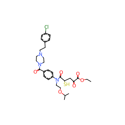 CCOC(=O)C(=O)CC(S)C(=O)N(CCOC(C)C)c1ccc(C(=O)N2CCN(CCc3ccc(Cl)cc3)CC2)cc1